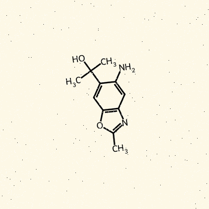 Cc1nc2cc(N)c(C(C)(C)O)cc2o1